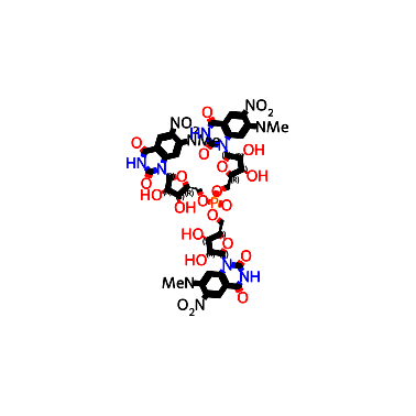 CNc1cc2c(cc1[N+](=O)[O-])c(=O)[nH]c(=O)n2[C@@H]1O[C@H](COP(=O)(OC[C@H]2O[C@@H](n3c(=O)[nH]c(=O)c4cc([N+](=O)[O-])c(NC)cc43)[C@H](O)[C@@H]2O)OC[C@H]2O[C@@H](n3c(=O)[nH]c(=O)c4cc([N+](=O)[O-])c(NC)cc43)[C@H](O)[C@@H]2O)[C@@H](O)[C@H]1O